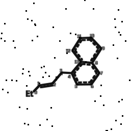 CC/C=C/[CH]c1cccc2ccccc12